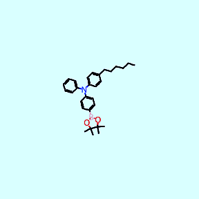 CCCCCCc1ccc(N(c2ccccc2)c2ccc(B3OC(C)(C)C(C)(C)O3)cc2)cc1